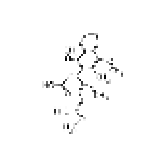 C=C/C(=C\C=C(/C)OC)[C@H](CC(=O)O)c1c(C)c(OC)c2ccccc2c1OC